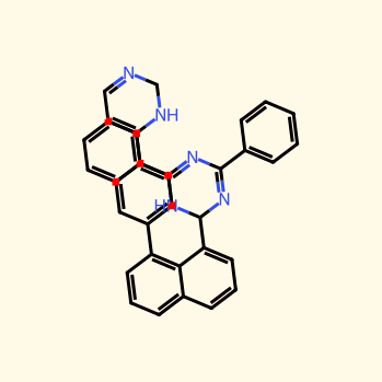 C1=NCNC(c2ccc(-c3cccc4cccc(C5N=C(c6ccccc6)N=C(c6ccccc6)N5)c34)cc2)=C1